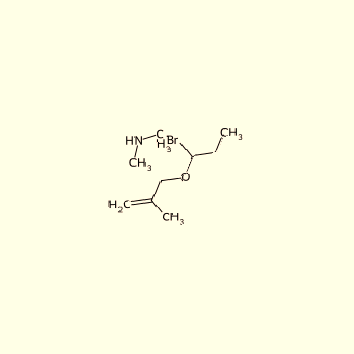 C=C(C)COC(Br)CC.CNC